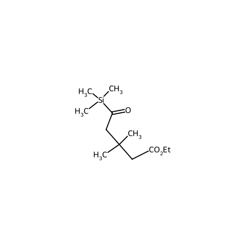 CCOC(=O)CC(C)(C)CC(=O)[Si](C)(C)C